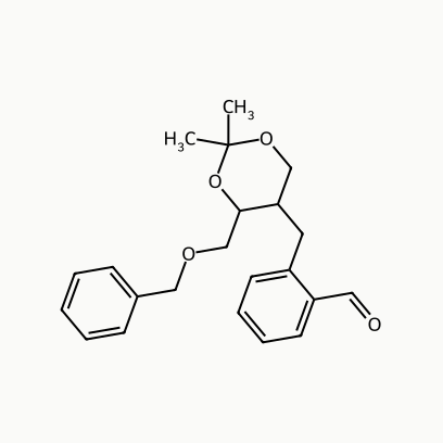 CC1(C)OCC(Cc2ccccc2C=O)C(COCc2ccccc2)O1